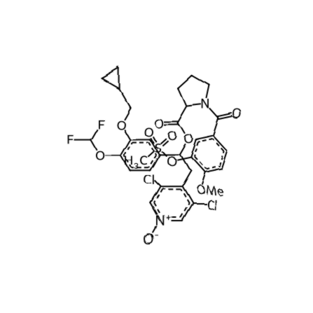 COc1ccc(C(=O)N2CCCC2C(=O)OC(Cc2c(Cl)c[n+]([O-])cc2Cl)c2ccc(OC(F)F)c(OCC3CC3)c2)cc1OS(C)(=O)=O